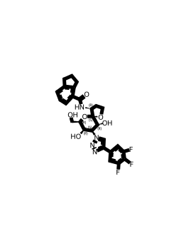 O=C(N[C@@H]1CCO[C@]12O[C@H](CO)[C@H](O)[C@H](n1cc(-c3cc(F)c(F)c(F)c3)nn1)[C@H]2O)c1cccc2c1CCC2